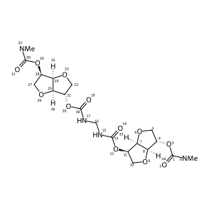 CNC(=O)O[C@H]1CO[C@H]2[C@@H]1OC[C@H]2OC(=O)NCNC(=O)O[C@H]1CO[C@H]2[C@@H]1OC[C@H]2OC(=O)NC